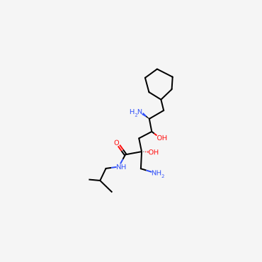 CC(C)CNC(=O)[C@](O)(CN)CC(O)[C@@H](N)CC1CCCCC1